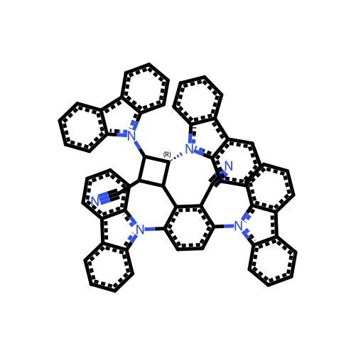 N#Cc1c(-n2c3ccccc3c3ccccc32)ccc(-n2c3ccccc3c3ccccc32)c1C1C(C#N)C(n2c3ccccc3c3ccccc32)[C@@H]1n1c2ccccc2c2ccccc21